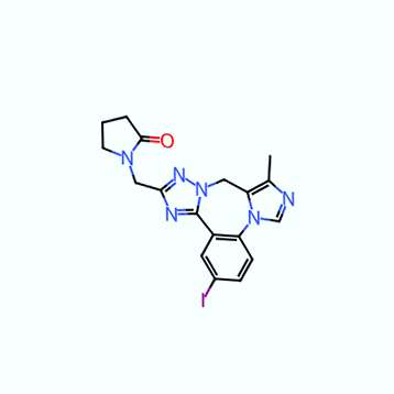 Cc1ncn2c1Cn1nc(CN3CCCC3=O)nc1-c1cc(I)ccc1-2